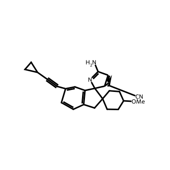 COC1CCC2(CC1)Cc1ccc(C#CC3CC3)cc1C21N=C(N)c2ccc(C#N)cc21